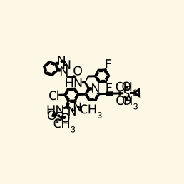 Cn1nc(NS(C)(=O)=O)c2c(Cl)ccc(-c3ccc(C#CC(C)(C)S(=O)(=O)C4CC4)nc3[C@H](Cc3cc(F)cc(F)c3)NC(=O)Cn3nnc4ccccc43)c21